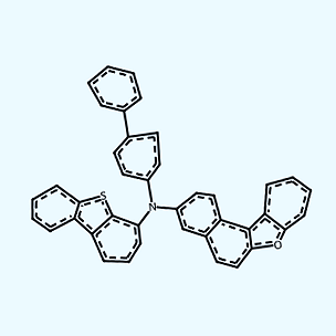 c1ccc(-c2ccc(N(c3ccc4c(ccc5oc6ccccc6c54)c3)c3cccc4c3sc3ccccc34)cc2)cc1